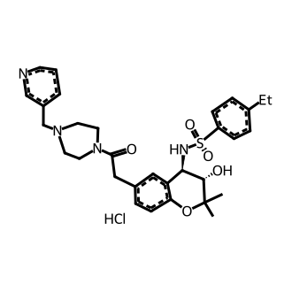 CCc1ccc(S(=O)(=O)N[C@@H]2c3cc(CC(=O)N4CCN(Cc5cccnc5)CC4)ccc3OC(C)(C)[C@H]2O)cc1.Cl